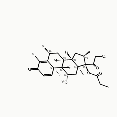 CCC(=O)O[C@]1(C(=O)CCl)[C@H](C)C[C@H]2[C@@H]3C[C@H](F)C4=C(F)C(=O)C=C[C@]4(C)[C@@]3(F)[C@@H](O)C[C@@]21C